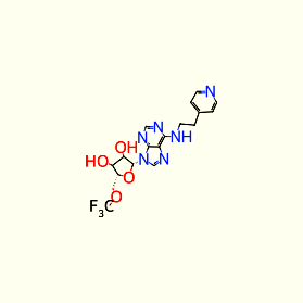 OC1C(O)[C@@H](COC(F)(F)F)O[C@H]1n1cnc2c(NCCc3ccncc3)ncnc21